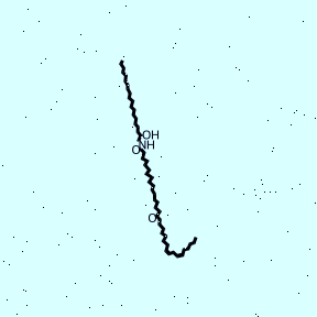 CCCCC/C=C\C/C=C\CCCCCCCC(=O)CCCCCCCCCCCCCCCC(=O)NC[C@H](O)CCCCCCCCCCCCCCCCCC